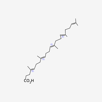 CC(C)=CCC/C(C)=C/CC/C(C)=C/CC/C=C(\C)CC/C=C(\C)CCC(=O)O